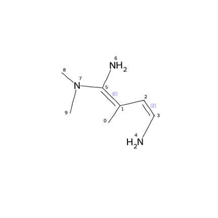 CC(/C=C\N)=C(/N)N(C)C